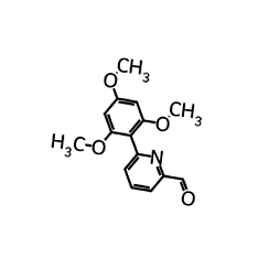 COc1cc(OC)c(-c2cccc(C=O)n2)c(OC)c1